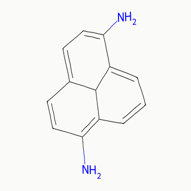 NC1=CC=C2C=CC(N)=C3C=CC=C1C23